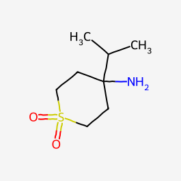 CC(C)C1(N)CCS(=O)(=O)CC1